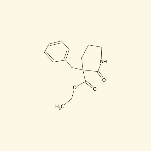 CCOC(=O)C1(Cc2ccccc2)CCCNC1=O